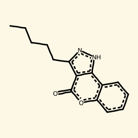 CCCCCc1n[nH]c2c1c(=O)oc1ccccc12